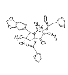 CN1C(=O)[C@@]2(SC(=O)c3ccccc3)C[C@](C)(C#N)C(c3ccc4c(c3)OCO4)N2C(=O)[C@]1(C)SC(=O)c1ccccc1